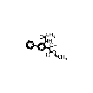 CCOC(=O)C(O)c1ccc(-c2ccccc2)cc1NC(C)=O